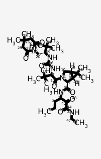 CCCC(NC(=O)[C@@H]1[C@@H]2[C@H](CN1C(=O)[C@@H](NC(=O)N[C@H](CN1C(=O)CC(C)(C)CC1=O)C(C)(C)C)C(C)(C)C)C2(C)C)C(=O)C(=O)NCC